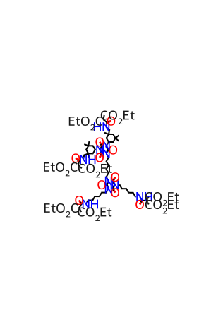 CCOC(=O)C(C(=O)NCCCCCCn1c(=O)n(CCCCCCNC(=O)C(C(=O)OCC)C(=O)OCC)c(=O)n(CCCCCCn2c(=O)n(C3CC(C)(C)CC(C)(CNC(=O)C(C(=O)OCC)C(=O)OCC)C3)c(=O)n(C3CC(C)(C)CC(C)(CNC(=O)C(C(=O)OCC)C(=O)OCC)C3)c2=O)c1=O)C(=O)OCC